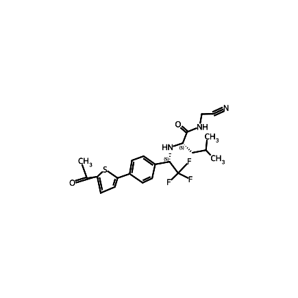 CC(=O)c1ccc(-c2ccc([C@H](N[C@@H](CC(C)C)C(=O)NCC#N)C(F)(F)F)cc2)s1